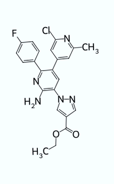 CCOC(=O)c1cnn(-c2cc(-c3cc(C)nc(Cl)c3)c(-c3ccc(F)cc3)nc2N)c1